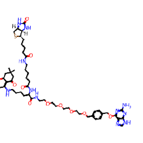 CC(NCCCCC(NC(=O)CCCCCNC(=O)CCCC[C@H]1SC[C@H]2NC(=O)N[C@H]21)C(=O)NCCOCCOCCOCCOCc1ccc(COc2nc(N)nc3[nH]cnc23)cc1)=C1C(=O)CC(C)(C)CC1=O